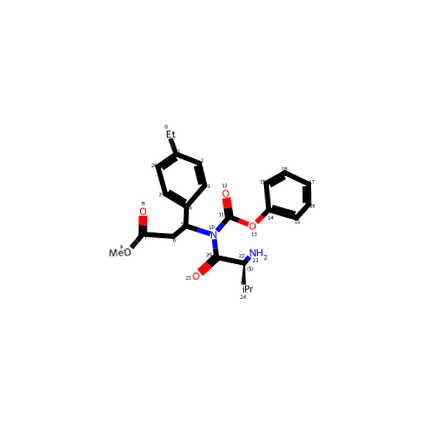 CCc1ccc(C(CC(=O)OC)N(C(=O)Oc2ccccc2)C(=O)[C@@H](N)C(C)C)cc1